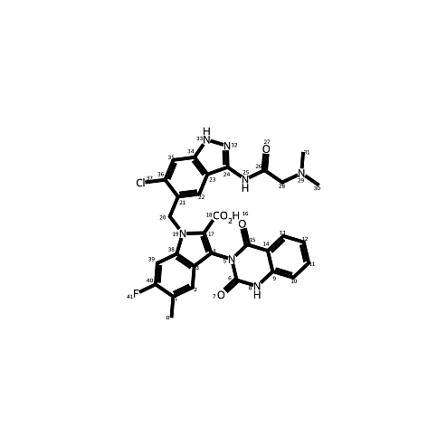 Cc1cc2c(-n3c(=O)[nH]c4ccccc4c3=O)c(C(=O)O)n(Cc3cc4c(NC(=O)CN(C)C)n[nH]c4cc3Cl)c2cc1F